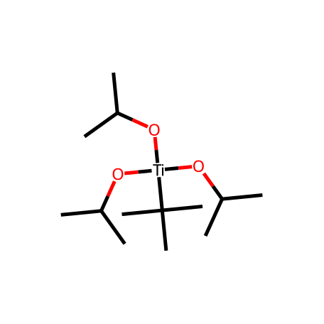 CC(C)[O][Ti]([O]C(C)C)([O]C(C)C)[C](C)(C)C